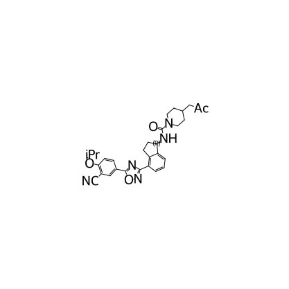 CC(=O)CC1CCN(C(=O)N[C@@H]2CCc3c(-c4noc(-c5ccc(OC(C)C)c(C#N)c5)n4)cccc32)CC1